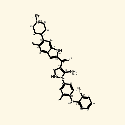 Cc1cc(N2NCC(C(=O)c3cc4cc(C)c(C5CCN(C(C)C)CC5)cc4[nH]3)=C2N)ccc1Oc1ccccc1F